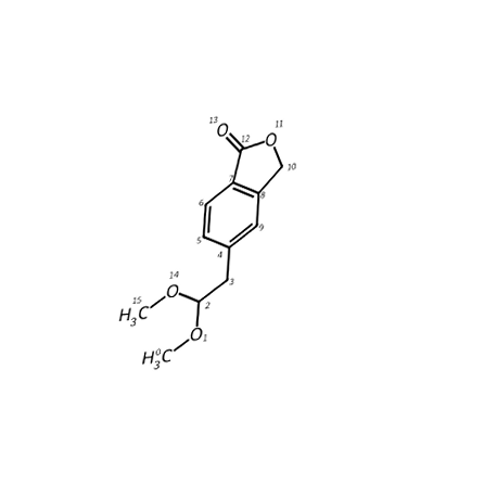 COC(Cc1ccc2c(c1)COC2=O)OC